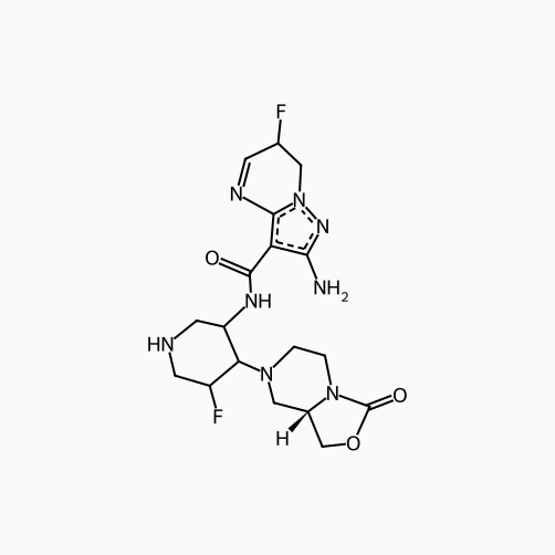 Nc1nn2c(c1C(=O)NC1CNCC(F)C1N1CCN3C(=O)OC[C@@H]3C1)N=CC(F)C2